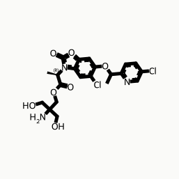 CC(Oc1cc2oc(=O)n([C@H](C)C(=O)OCC(N)(CO)CO)c2cc1Cl)c1ccc(Cl)cn1